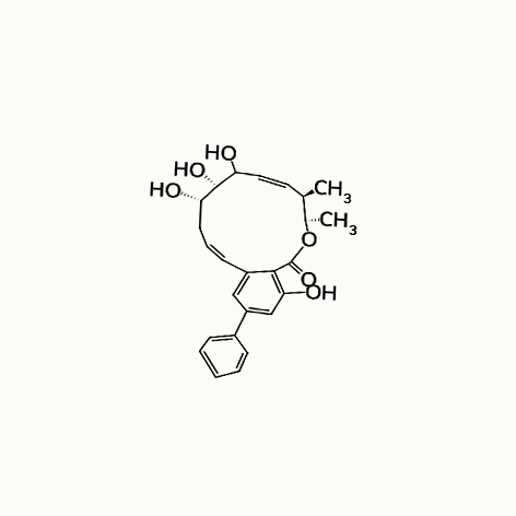 C[C@@H]1/C=C\C(O)[C@@H](O)[C@@H](O)C/C=C/c2cc(-c3ccccc3)cc(O)c2C(=O)O[C@H]1C